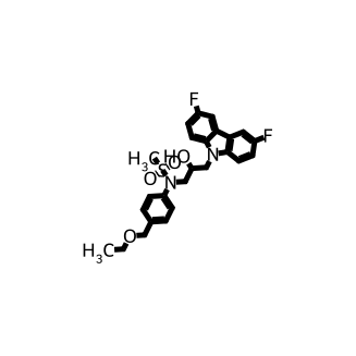 CCOCc1ccc(N(CC(O)Cn2c3ccc(F)cc3c3cc(F)ccc32)S(C)(=O)=O)cc1